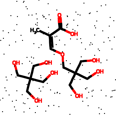 CC(=COCC(CO)(CO)CO)C(=O)O.OCC(CO)(CO)CO